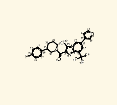 O=C(c1nc2c(C(F)(F)F)cc(-c3ccoc3)cn2c1Cl)N1CCCC(c2ccc(F)cc2)C1